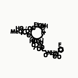 CC[C@H]1OC(=O)[C@H](C)[C@@H](O[C@H]2C[C@@](C)(OC)[C@@H](O)[C@H](C)O2)[C@H](C)[C@@H](O[C@@H]2O[C@H](C)C(OC(=O)CCC(=O)NC[C@H]3CN(c4cccc(F)c4)C(=O)O3)[C@H](N(C)C)[C@H]2O)[C@](C)(O)C[C@@H](C)CN(C)[C@H](C)[C@@H](O)[C@]1(C)O